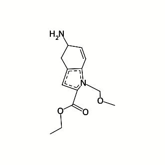 CCOC(=O)c1cc2c(n1COC)C=CC(N)C2